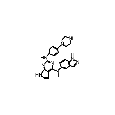 c1cc2c(Nc3ccc4[nH]ncc4c3)nc(Nc3ccc(N4CCNCC4)cc3)nc2[nH]1